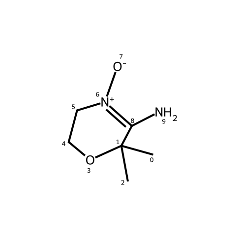 CC1(C)OCC[N+]([O-])=C1N